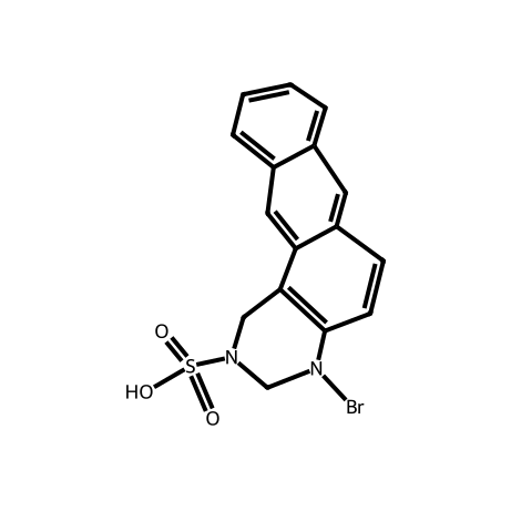 O=S(=O)(O)N1Cc2c(ccc3cc4ccccc4cc23)N(Br)C1